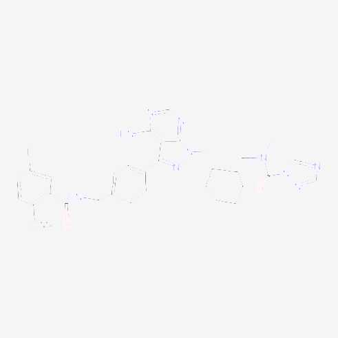 COc1ccc(F)cc1C(=O)NCc1ccc(-c2nn(C[C@H]3CCCC[C@H]3CN(C)C(=O)n3cncn3)c3ncnc(N)c23)cc1